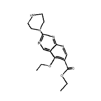 CCOC(=O)c1cnc2nc(N3CCNCC3)ncc2c1OCC